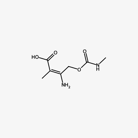 CNC(=O)OCC(N)=C(C)C(=O)O